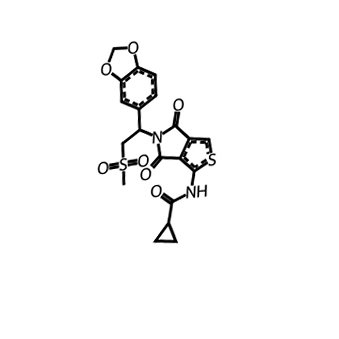 CS(=O)(=O)CC(c1ccc2c(c1)OCO2)N1C(=O)c2csc(NC(=O)C3CC3)c2C1=O